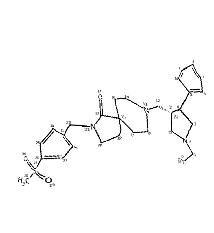 CC(C)CN1CC(c2ccccc2)[C@@H](CN2CCC3(CC2)CCN(Cc2ccc(S(C)(=O)=O)cc2)C3=O)C1